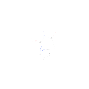 CN(C(=O)Cl)C(=O)N1CCCC1